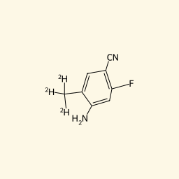 [2H]C([2H])([2H])c1cc(C#N)c(F)cc1N